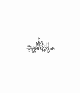 CCCC(=O)Nc1cncc(-c2cnc3[nH]nc(-c4cc5c(-c6ccccc6F)ccnc5[nH]4)c3c2)c1